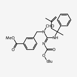 C=C(C)CC(C)(NC(=NC(=O)OC(C)(C)C)N(C=O)Cc1cccc(C(=O)OC)c1)c1ccccc1